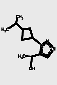 CC(C)C1CC(n2nncc2[C@H](C)O)C1